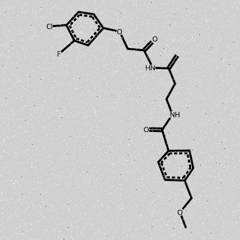 C=C(CCNC(=O)c1ccc(COC)cc1)NC(=O)COc1ccc(Cl)c(F)c1